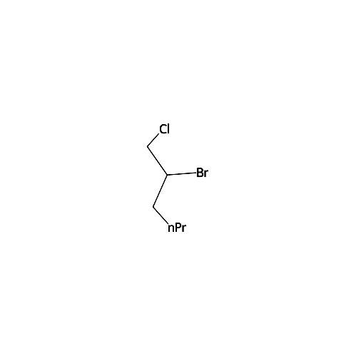 CCCCC(Br)CCl